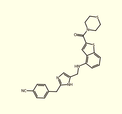 N#Cc1ccc(Cc2ncc(CNc3cccc4sc(C(=O)N5CCSCC5)cc34)[nH]2)cc1